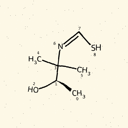 C[C@@H](O)C(C)(C)/N=C\S